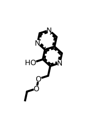 CCOOCc1ncc2cncnc2c1O